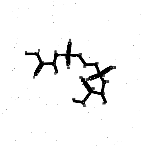 COC(=O)C(C)OS(=O)(=O)CCCS(=O)(=O)OC(C)C(=O)OC